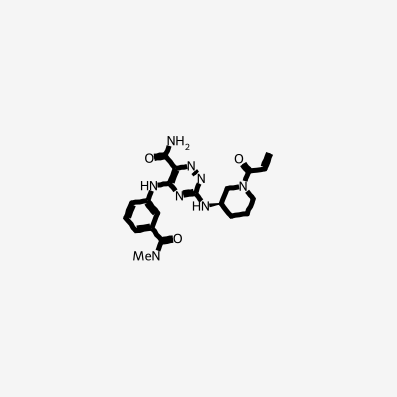 C=CC(=O)N1CCC[C@@H](Nc2nnc(C(N)=O)c(Nc3cccc(C(=O)NC)c3)n2)C1